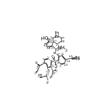 CC(C)c1ccc(S(=O)(=O)c2ccc(C#N)cc2C[C@H](N)C(=O)C2(C(=O)O)CCCNC2)c(C(C)C)c1C(C)C